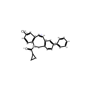 O=C(C1CC1)N1Cc2ccc(-c3ccccc3)cc2/C=C\c2cc(Cl)ccc21